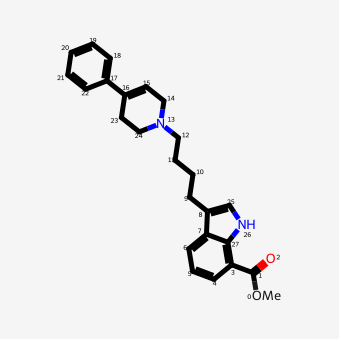 COC(=O)c1cccc2c(CCCCN3CC=C(c4ccccc4)CC3)c[nH]c12